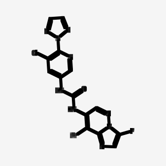 CC(C)c1c(NC(=O)Nc2cnc(-n3nccn3)c(Cl)c2)cnn2c(F)cnc12